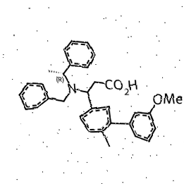 COc1cccc(-c2cc(C(CC(=O)O)N(Cc3ccccc3)[C@H](C)c3ccccc3)ccc2C)c1